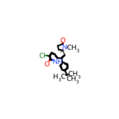 CN1C(=O)CC[C@@H]1C=C(c1ccc(C(C)(C)C)cc1)c1ccc(Cl)c(=O)[nH]1